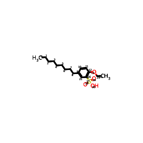 CCCCCCCCCc1ccc(OCC)c(S(=O)(=O)O)c1